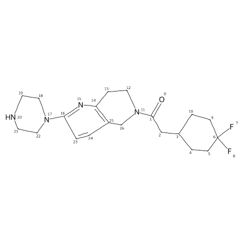 O=C(CC1CCC(F)(F)CC1)N1CCc2nc(N3CCNCC3)ccc2C1